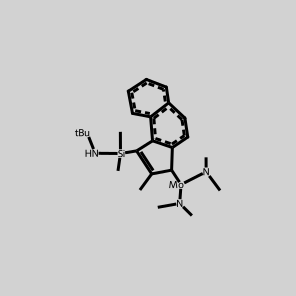 CC1=C([Si](C)(C)NC(C)(C)C)c2c(ccc3ccccc23)[CH]1[Mo]([N](C)C)[N](C)C